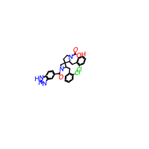 O=C(O)N1CCC2(CN(C(=O)c3ccc4[nH]nnc4c3)C2Cc2ccccc2Cl)C1Cc1ccccc1Cl